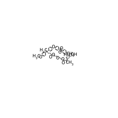 COc1ccc(C(C)(CCC(=O)OCCOCCOC(=O)C(C)SCC(O)CO)c2ccc(Oc3ccc(S(=O)(=O)c4ccc(C)cc4)cc3)cc2)cc1